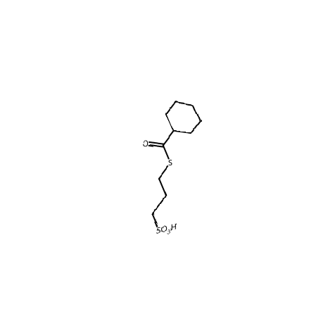 O=C(SCCCS(=O)(=O)O)C1CCCCC1